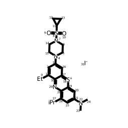 CCc1cc(N2CCN(S(=O)(=O)C3CC3)CC2)cc2[s+]c3cc(N(C)C)cc(C(C)C)c3nc12.[I-]